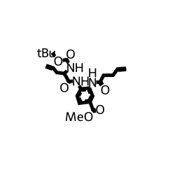 C=CCCC(=O)Nc1cc(C(=O)OC)ccc1NC(=O)C(CC=C)NC(=O)OC(C)(C)C